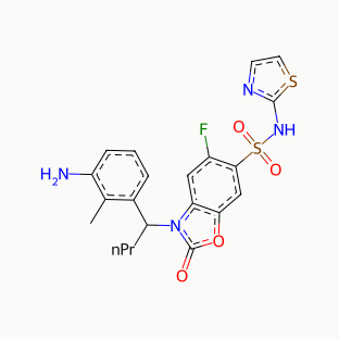 CCCC(c1cccc(N)c1C)n1c(=O)oc2cc(S(=O)(=O)Nc3nccs3)c(F)cc21